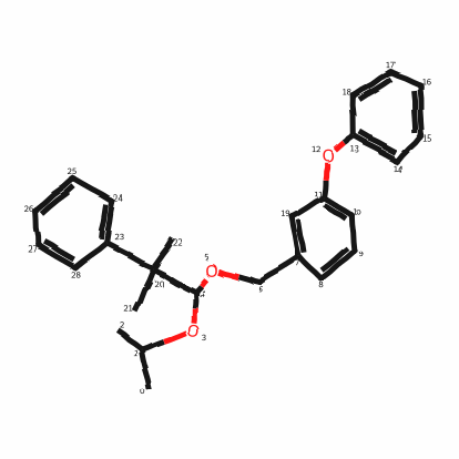 CC(C)OC(OCc1cccc(Oc2ccccc2)c1)C(C)(C)c1ccccc1